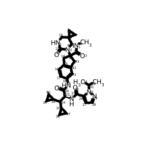 CNC(=O)C1(N2CC3(CC3)CNC2=O)Cc2ccc(NC(=O)[C@@H](NC(=O)c3ccnn3C(C)C)C(C3CC3)C3CC3)cc2C1